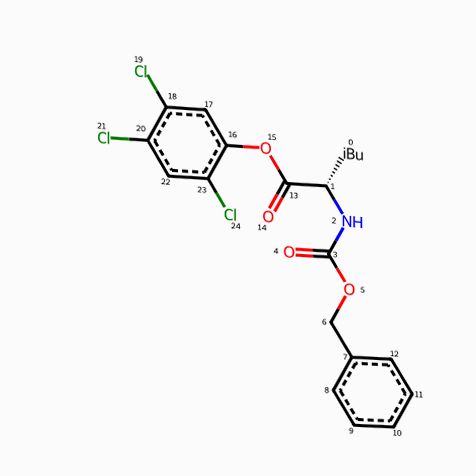 CCC(C)[C@H](NC(=O)OCc1ccccc1)C(=O)Oc1cc(Cl)c(Cl)cc1Cl